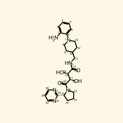 Nc1ccccc1N1CCC(CNC(=O)[C@H](O)[C@@H](O)C(=O)N2CCC[C@@H]2c2ncccn2)CC1